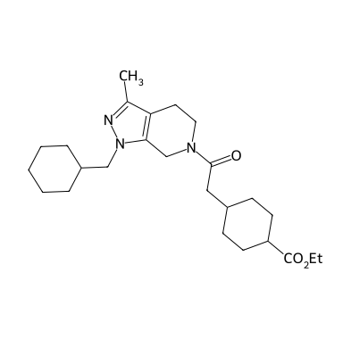 CCOC(=O)C1CCC(CC(=O)N2CCc3c(C)nn(CC4CCCCC4)c3C2)CC1